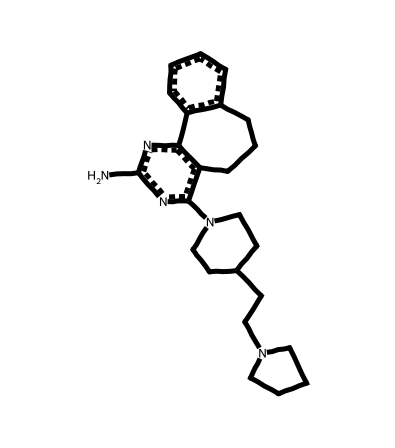 Nc1nc2c(c(N3CCC(CCN4CCCC4)CC3)n1)CCCc1ccccc1-2